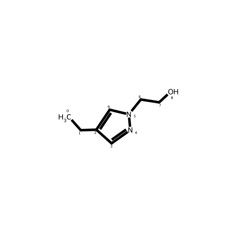 CCc1cnn(CCO)c1